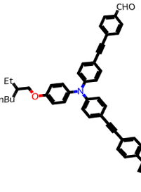 C=Cc1ccc(C#Cc2ccc(N(c3ccc(C#Cc4ccc(C=O)cc4)cc3)c3ccc(OCC(CC)CCCC)cc3)cc2)cc1